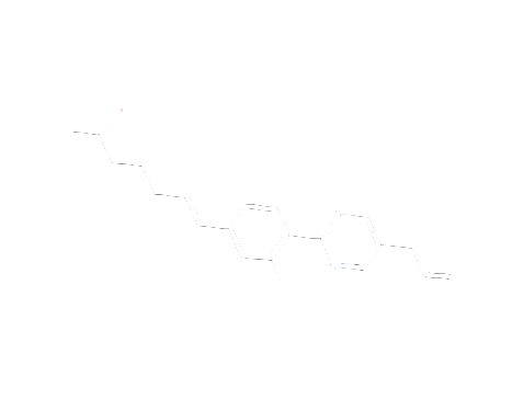 C=CCc1cnc(-c2ccc(C=CCCCC(C)O)cc2F)nc1